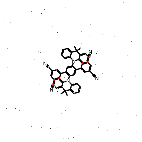 CC1(C)c2ccccc2N(c2cc(-c3cc(C#N)cc(C#N)c3)c(N3c4ccccc4C(C)(C)c4ccccc43)cc2-c2cc(C#N)cc(C#N)c2)c2ccccc21